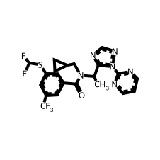 CC(c1ncnn1-c1ncccn1)N(CC1CC1)C(=O)c1cc(SC(F)F)cc(C(F)(F)F)c1